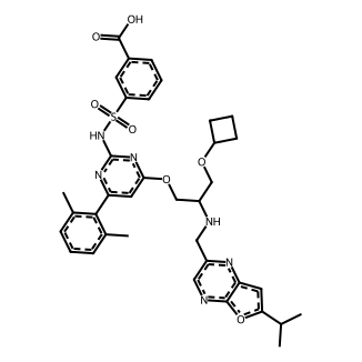 Cc1cccc(C)c1-c1cc(OCC(COC2CCC2)NCc2cnc3oc(C(C)C)cc3n2)nc(NS(=O)(=O)c2cccc(C(=O)O)c2)n1